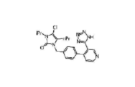 CCCc1c(Cl)n(C(C)C)c(=O)n1Cc1ccc(-c2ccncc2-c2nnn[nH]2)cc1